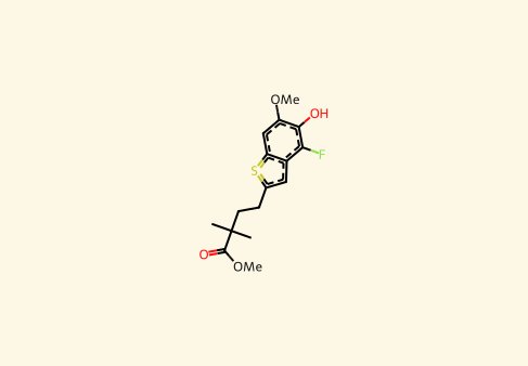 COC(=O)C(C)(C)CCc1cc2c(F)c(O)c(OC)cc2s1